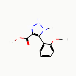 COC(=O)C1=C(c2ccccc2OC)N(C)NN1